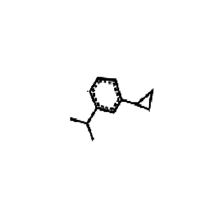 CC(C)c1[c]ccc(C2CC2)c1